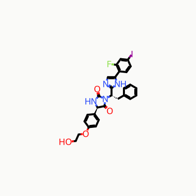 O=C1N[C@H](c2ccc(OCCO)cc2)C(=O)N1[C@@H](Cc1ccccc1)c1ncc(-c2ccc(I)cc2F)[nH]1